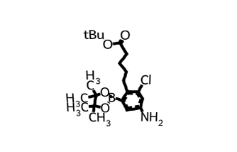 CC(C)(C)OC(=O)CCCCc1c(Cl)cc(N)cc1B1OC(C)(C)C(C)(C)O1